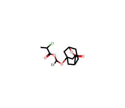 CCC(OC(=O)C(C)Cl)OC12CC3CC(C1)OC(=O)C(C3)C2